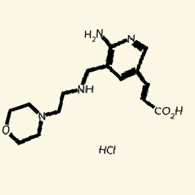 Cl.Nc1ncc(C=CC(=O)O)cc1CNCCN1CCOCC1